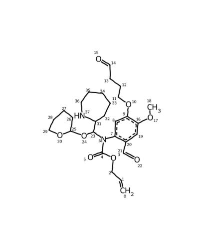 C=CCOC(=O)N(c1cc(OCCCC=O)c(OC)cc1C=O)C(OC1CCCCO1)C1CCCCCN1